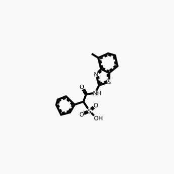 Cc1cccc2sc(NC(=O)C(c3ccccc3)S(=O)(=O)O)nc12